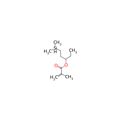 C=C(C)C(=O)OC(CC)CC[SiH](C)C